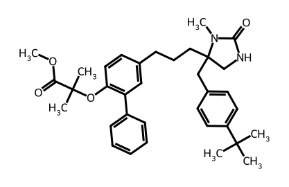 COC(=O)C(C)(C)Oc1ccc(CCCC2(Cc3ccc(C(C)(C)C)cc3)CNC(=O)N2C)cc1-c1ccccc1